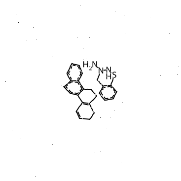 C1=CC2=C(CC1)CCc1c2ccc2ccccc12.NN1Cc2ccccc2SN1